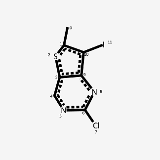 Cc1sc2cnc(Cl)nc2c1I